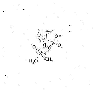 C=C(C)C(=O)OC1C2CC3C1OS(=O)(=O)[C@]3(C#N)C2